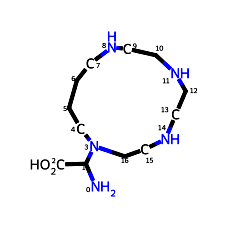 NC(C(=O)O)N1CCCCNCCNCCNCC1